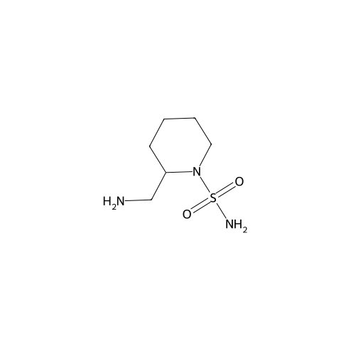 NCC1CCCCN1S(N)(=O)=O